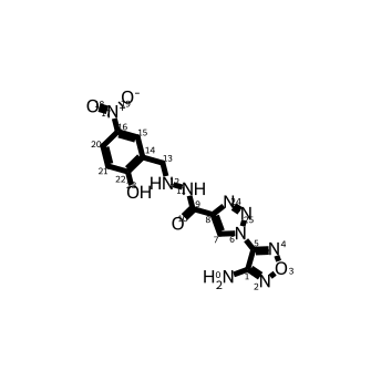 Nc1nonc1-n1cc(C(=O)NNCc2cc([N+](=O)[O-])ccc2O)nn1